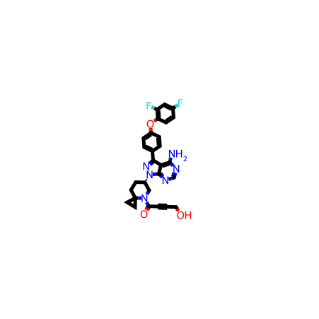 Nc1ncnc2c1c(-c1ccc(Oc3ccc(F)cc3F)cc1)nn2[C@H]1CCC2(CC2)N(C(=O)C#CCO)C1